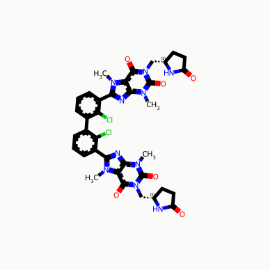 Cn1c(-c2cccc(-c3cccc(-c4nc5c(c(=O)n(C[C@@H]6CCC(=O)N6)c(=O)n5C)n4C)c3Cl)c2Cl)nc2c1c(=O)n(C[C@@H]1CCC(=O)N1)c(=O)n2C